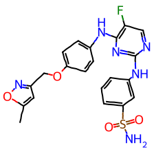 Cc1cc(COc2ccc(Nc3nc(Nc4cccc(S(N)(=O)=O)c4)ncc3F)cc2)no1